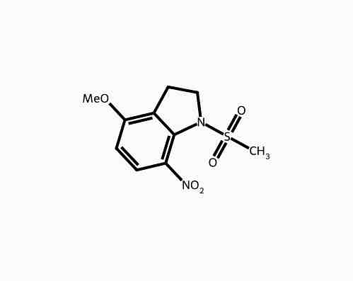 COc1ccc([N+](=O)[O-])c2c1CCN2S(C)(=O)=O